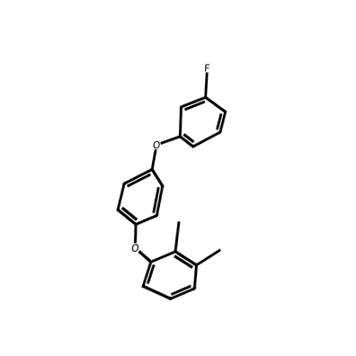 Cc1cccc(Oc2ccc(Oc3cccc(F)c3)cc2)c1C